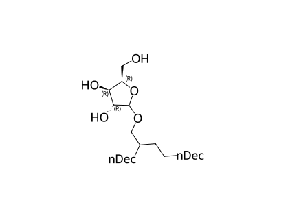 CCCCCCCCCCCCC(CCCCCCCCCC)COC1O[C@H](CO)[C@H](O)[C@H]1O